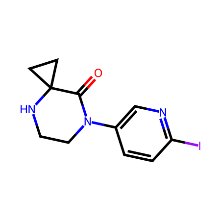 O=C1N(c2ccc(I)nc2)CCNC12CC2